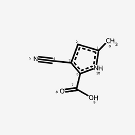 Cc1cc(C#N)c(C(=O)O)[nH]1